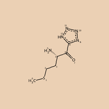 CSCC[C@H](N)C(=O)c1nnn[nH]1